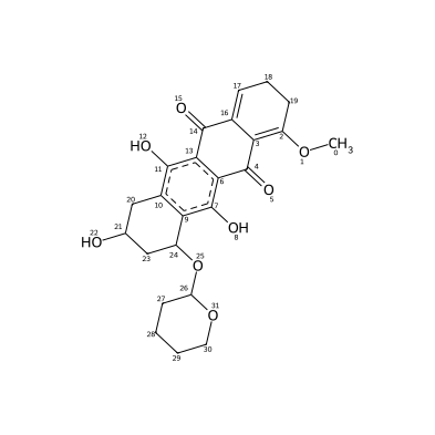 COC1=C2C(=O)c3c(O)c4c(c(O)c3C(=O)C2=CCC1)CC(O)CC4OC1CCCCO1